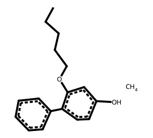 C.CCCCCOc1cc(O)ccc1-c1ccccc1